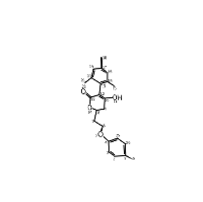 Cc1ccc(OCCC2CC(O)=C(c3c(C)cc(C)cc3C)C(=O)O2)cc1